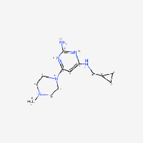 CN1CCN(c2cc(NCC3CC3)nc(N)n2)CC1